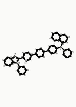 c1ccc(N(c2ccc(-c3ccc(-c4ccc(-c5nc6ccccc6n5-c5ccccc5)nc4)cc3)cc2)c2cccc3ccccc23)cc1